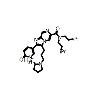 CC(C)CCN(CCC(C)C)C(=O)c1cn2c(CCCN3CCCC3C)c(-c3ccc(=O)[nH]c3)nc2cn1